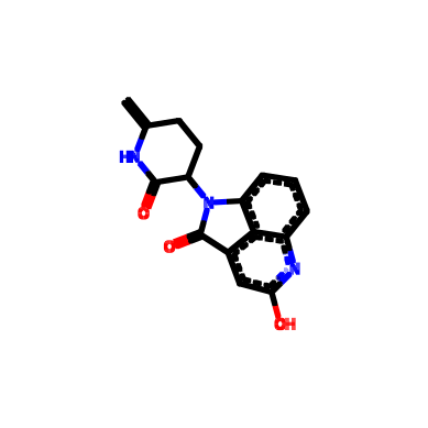 C=C1CCC(N2C(=O)c3cc(O)nc4cccc2c34)C(=O)N1